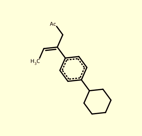 C/C=C(/CC(C)=O)c1ccc(C2CCCCC2)cc1